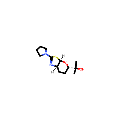 CC(C)(O)[C@@H]1CC[C@H]2N=C(N3CCCC3)S[C@H]2O1